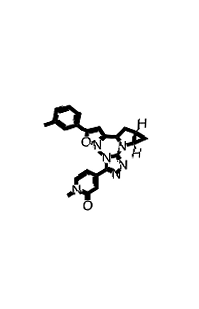 Cc1cccc(-c2cc(C3C[C@H]4C[C@H]4N3c3nnc(-c4ccn(C)c(=O)c4)n3C)no2)c1